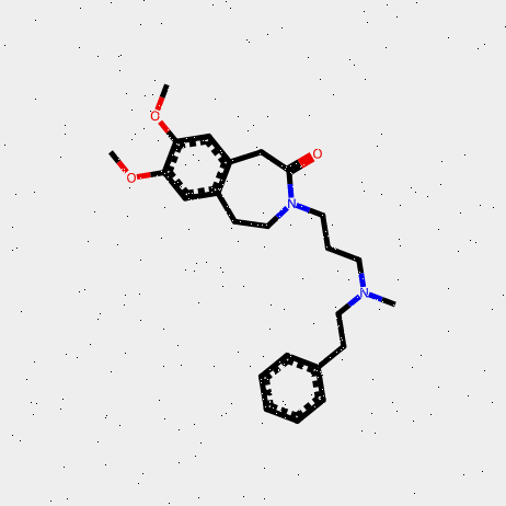 COc1cc2c(cc1OC)CC(=O)N(CCCN(C)CCc1ccccc1)CC2